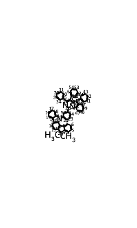 CC1(C)c2ccccc2-c2c1ccc1c3ccccc3n(-c3cccc(-c4nc(-c5ccccc5)c5c(n4)[Si](c4ccccc4)(c4ccccc4)c4ccccc4-5)c3)c21